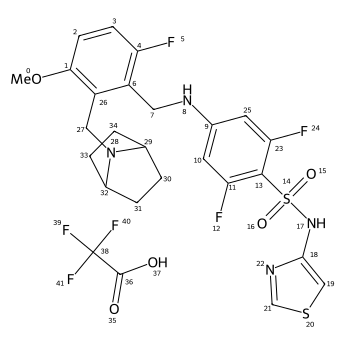 COc1ccc(F)c(CNc2cc(F)c(S(=O)(=O)Nc3cscn3)c(F)c2)c1CN1C2CCC1CC2.O=C(O)C(F)(F)F